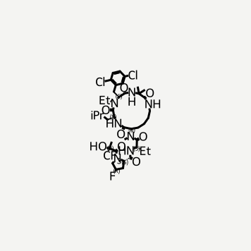 CC[C@H](NC(=O)[C@@H]1C[C@@H](F)CN1C(=O)[C@@](C)(O)C(F)(F)F)C(=O)N(C)[C@H]1CCCCNC(=O)C(C)(C)NC(=O)[C@H](Cc2cc(Cl)ccc2Cl)N(CC)C(=O)[C@H](CC(C)C)NC1=O